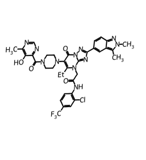 CCc1c(N2CCN(C(=O)c3ncnc(C)c3O)CC2)c(=O)n2nc(-c3ccc4nn(C)c(C)c4c3)nc2n1CC(=O)Nc1ccc(C(F)(F)F)cc1Cl